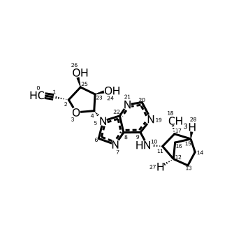 C#C[C@H]1O[C@@H](n2cnc3c(N[C@H]4[C@@H]5CC[C@H](C5)[C@H]4C)ncnc32)[C@H](O)[C@@H]1O